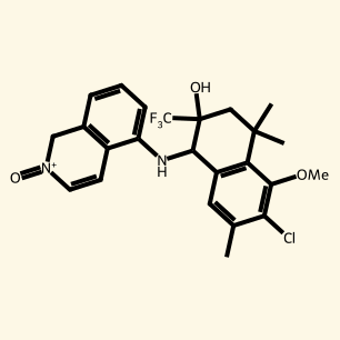 COc1c(Cl)c(C)cc2c1C(C)(C)CC(O)(C(F)(F)F)C2Nc1cccc2c1C=C[N+](=O)C2